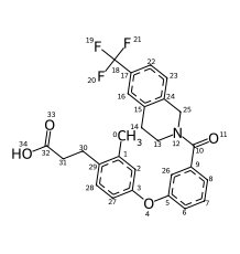 Cc1cc(Oc2cccc(C(=O)N3CCc4cc(C(F)(F)F)ccc4C3)c2)ccc1CCC(=O)O